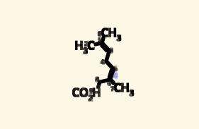 CC(C)=CC/C=C(/C)CC(=O)O